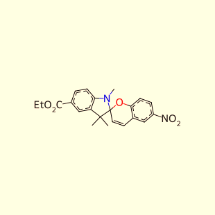 CCOC(=O)c1ccc2c(c1)C(C)(C)C1(C=Cc3cc([N+](=O)[O-])ccc3O1)N2C